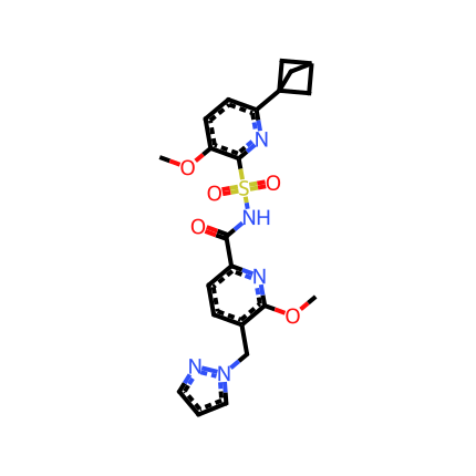 COc1ccc(C23CC(C2)C3)nc1S(=O)(=O)NC(=O)c1ccc(Cn2cccn2)c(OC)n1